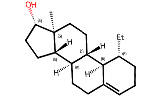 CC[C@@H]1CCC=C2CC[C@@H]3[C@H](CC[C@]4(C)[C@@H](O)CC[C@@H]34)[C@H]21